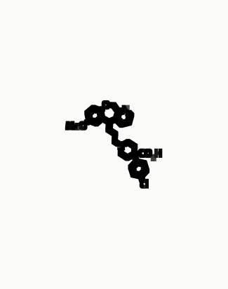 COc1ccc2c(c1)/C(=C/CCN1CCC(C(=O)O)(c3ccc(Cl)cc3)CC1)c1cccnc1CO2